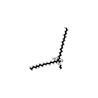 C=CCOC(=O)C(O)(CCCCCCCCCCCCCCCC)CCCCCCCCCCCCCCCCCC